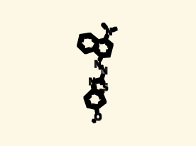 COc1ccc2nc(/N=N/c3ccc(N(C)C)c4ccccc34)sc2c1